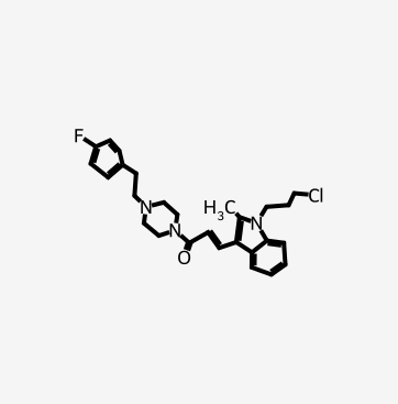 Cc1c(C=CC(=O)N2CCN(CCc3ccc(F)cc3)CC2)c2ccccc2n1CCCCl